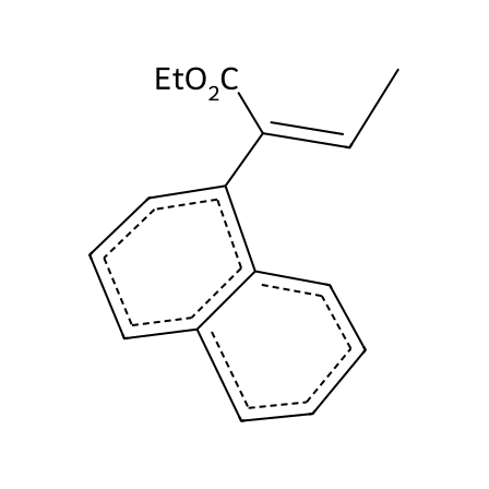 CC=C(C(=O)OCC)c1cccc2ccccc12